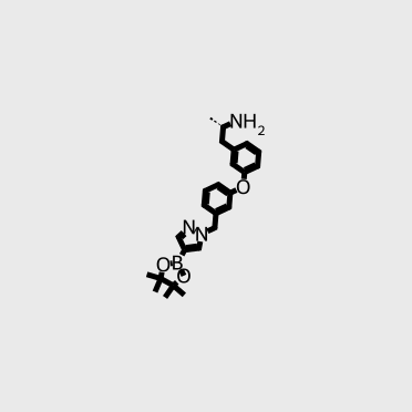 C[C@H](N)Cc1cccc(Oc2cccc(Cn3cc(B4OC(C)(C)C(C)(C)O4)cn3)c2)c1